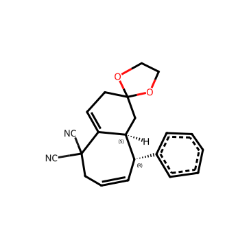 N#CC1(C#N)CC=C[C@@H](c2ccccc2)[C@@H]2CC3(CC=C21)OCCO3